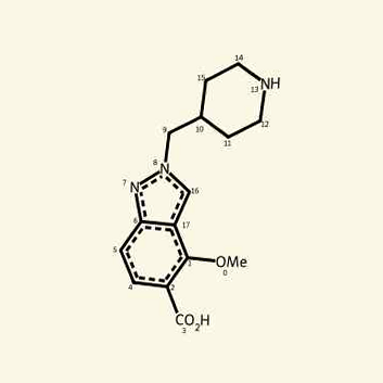 COc1c(C(=O)O)ccc2nn(CC3CCNCC3)cc12